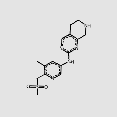 Cc1cc(Nc2ncc3c(n2)CNCC3)cnc1CS(C)(=O)=O